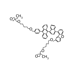 CCC1(COCCCCCOCc2ccc(-c3c4ccccc4c(-c4ccc(-c5cccc6oc7ccc(COCCCCCOCC8(CC)COC8)cc7c56)c5ccccc45)c4ccccc34)cc2)COC1